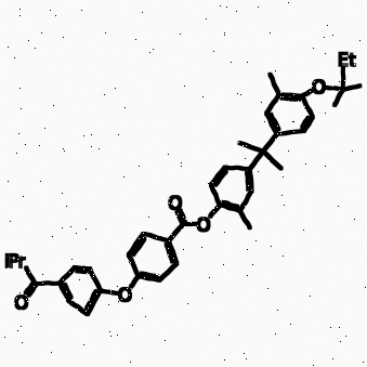 CCC(C)(C)Oc1ccc(C(C)(C)c2ccc(OC(=O)c3ccc(Oc4ccc(C(=O)C(C)C)cc4)cc3)c(C)c2)cc1C